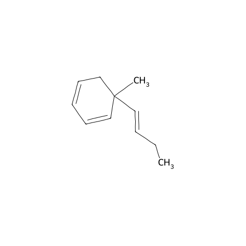 CCC=CC1(C)C=CC=CC1